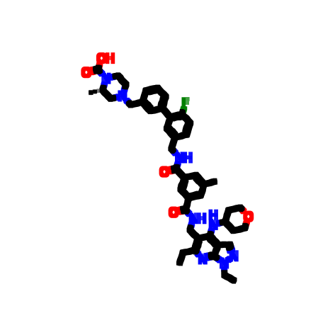 CCc1nc2c(cnn2CC)c(NC2CCOCC2)c1CNC(=O)c1cc(C)cc(C(=O)NCc2ccc(F)c(-c3cccc(CN4CCN(C(=O)O)[C@@H](C)C4)c3)c2)c1